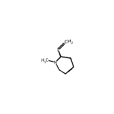 C=IC1CCCCN1C